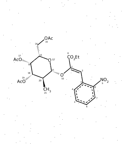 CCOC(=O)/C(=C/c1ccccc1[N+](=O)[O-])O[C@H]1O[C@@H](COC(C)=O)[C@@H](OC(C)=O)[C@@H](OC(C)=O)[C@@H]1C